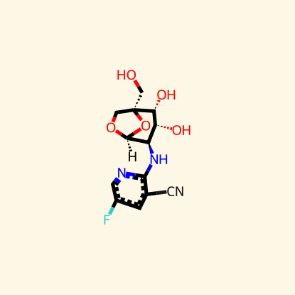 N#Cc1cc(F)cnc1N[C@H]1[C@H]2OC[C@](CO)(O2)[C@H](O)[C@@H]1O